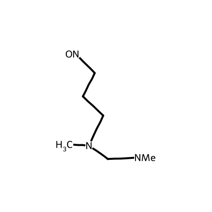 CNCN(C)CCCN=O